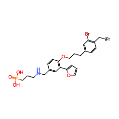 CC(C)Cc1ccc(CCCOc2ccc(CNCCCP(=O)(O)O)cc2-c2ccco2)cc1Br